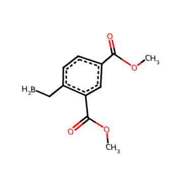 BCc1ccc(C(=O)OC)cc1C(=O)OC